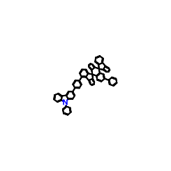 c1ccc(-c2ccc3c(c2)C2(c4ccccc4-c4ccccc42)c2ccccc2C32c3ccccc3-c3c(-c4ccc(-c5ccc6c(c5)c5ccccc5n6-c5ccccc5)cc4)cccc32)cc1